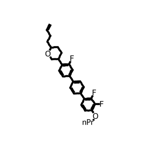 C=CCCC1CCC(c2ccc(-c3ccc(-c4ccc(OCCC)c(F)c4F)cc3)cc2F)CO1